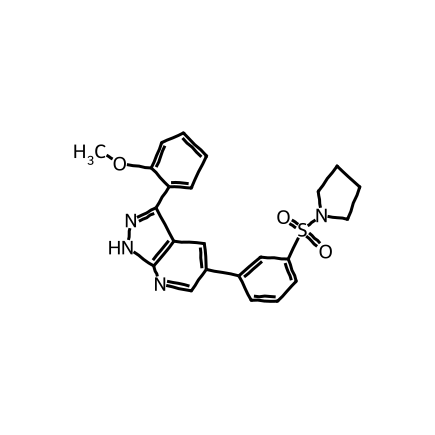 COc1ccccc1-c1n[nH]c2ncc(-c3cccc(S(=O)(=O)N4CCCC4)c3)cc12